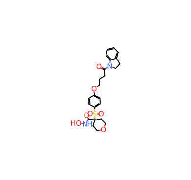 O=C(CCCOc1ccc(S(=O)(=O)C2(C(=O)NO)CCOCC2)cc1)N1CCc2ccccc21